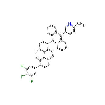 Fc1cc(-c2ccc3ccc4c(-c5c6ccccc6c(-c6ccc(C(F)(F)F)nc6)c6ccccc56)ccc5ccc2c3c54)cc(F)c1F